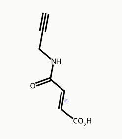 C#CCNC(=O)/C=C/C(=O)O